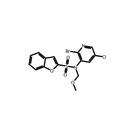 COCN(c1cc(Cl)cnc1Br)S(=O)(=O)c1cc2ccccc2o1